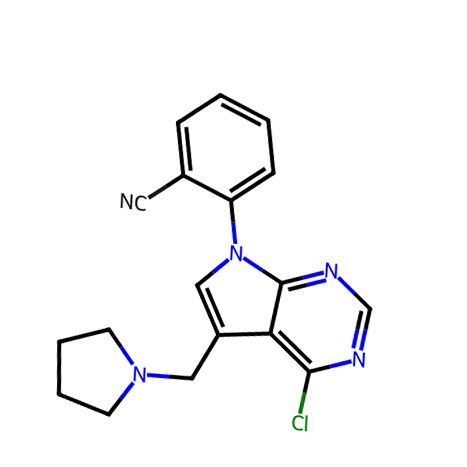 N#Cc1ccccc1-n1cc(CN2CCCC2)c2c(Cl)ncnc21